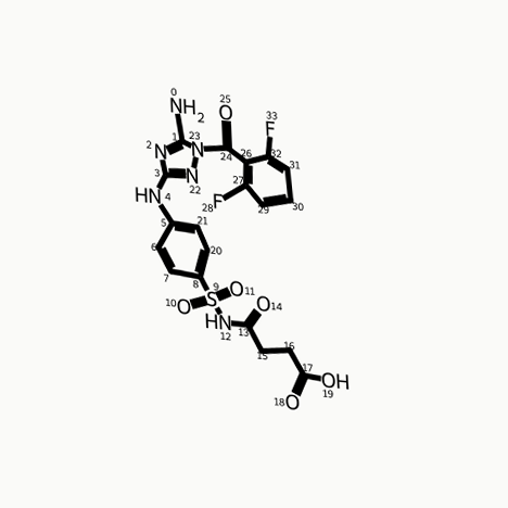 Nc1nc(Nc2ccc(S(=O)(=O)NC(=O)CCC(=O)O)cc2)nn1C(=O)c1c(F)cccc1F